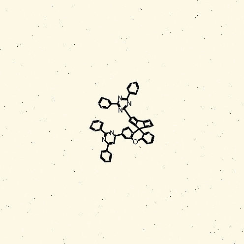 c1ccc(-c2cc(-c3ccc4c(c3)Oc3ccccc3C43c4ccccc4-c4cc(-c5nc(-c6ccccc6)nc(-c6ccccc6)n5)ccc43)nc(-c3ccccc3)n2)cc1